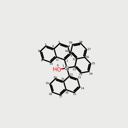 O[Si](c1cccc2ccccc12)(c1cccc2ccccc12)c1cccc2ccccc12